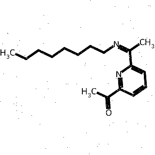 CCCCCCCC/N=C(/C)c1cccc(C(C)=O)n1